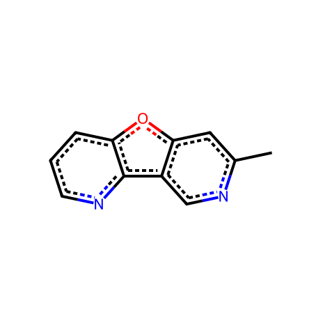 Cc1cc2oc3cccnc3c2cn1